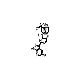 COC(=O)[C@H]1C2CCCC(CC2)C1Nc1nc(-c2nn(C)c3ncc(F)cc23)ncc1F